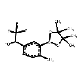 Cc1ccc(C(O)C(F)(F)F)cc1B1OC(C)(C)C(C)(C)O1